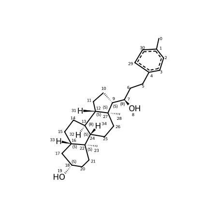 Cc1ccc(CC[C@@H](O)[C@H]2CC[C@H]3[C@@H]4CC[C@H]5C[C@@H](O)CC[C@]5(C)[C@H]4CC[C@]23C)cc1